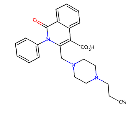 N#CCCN1CCN(Cc2c(C(=O)O)c3ccccc3c(=O)n2-c2ccccc2)CC1